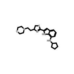 c1cc(NC2CCCC2)c2[nH]c(C3=NC(CCN4CCOCC4)CS3)cc2c1